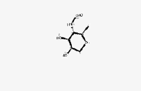 C[C@H]1O[CH][C@@H](O)[C@@H](O)[C@@H]1NC=O